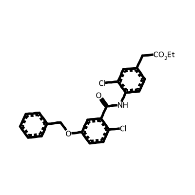 CCOC(=O)Cc1ccc(NC(=O)c2cc(OCc3ccccc3)ccc2Cl)c(Cl)c1